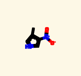 Cc1c[nH]cc1[N+](=O)[O-]